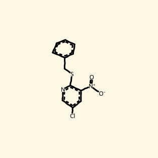 O=[N+]([O-])c1cc(Cl)cnc1SCc1ccccc1